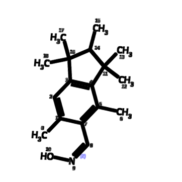 Cc1cc2c(c(C)c1/C=N\O)C(C)(C)C(C)C2(C)C